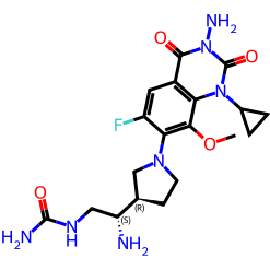 COc1c(N2CC[C@@H]([C@H](N)CNC(N)=O)C2)c(F)cc2c(=O)n(N)c(=O)n(C3CC3)c12